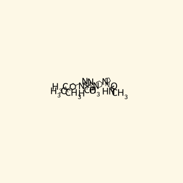 CNC(=O)C[C@@H]1CCCN1C1CCN(C(=O)c2ncnc(NCc3ccc(C(C)(C)C)cc3)c2C)CC1